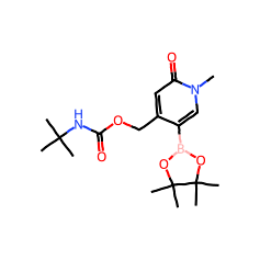 Cn1cc(B2OC(C)(C)C(C)(C)O2)c(COC(=O)NC(C)(C)C)cc1=O